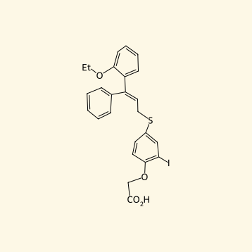 CCOc1ccccc1C(=CCSc1ccc(OCC(=O)O)c(I)c1)c1ccccc1